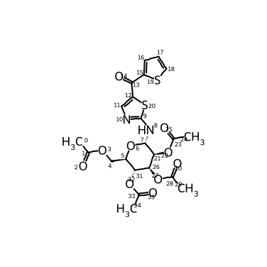 CC(=O)OC[C@H]1O[C@H](Nc2ncc(C(=O)c3cccs3)s2)[C@@H](OC(C)=O)[C@@H](OC(C)=O)[C@@H]1OC(C)=O